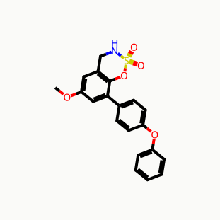 COc1cc2c(c(-c3ccc(Oc4ccccc4)cc3)c1)OS(=O)(=O)NC2